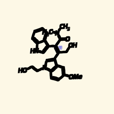 COc1ccc2c(c1)c(/C(CO)=C(/C(=O)N(C)C)c1c[nH]c3ccccc13)cn2CCO